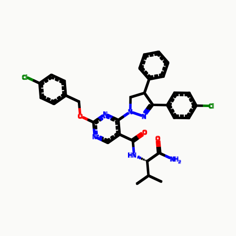 CC(C)[C@H](NC(=O)c1cnc(OCc2ccc(Cl)cc2)nc1N1CC(c2ccccc2)C(c2ccc(Cl)cc2)=N1)C(N)=O